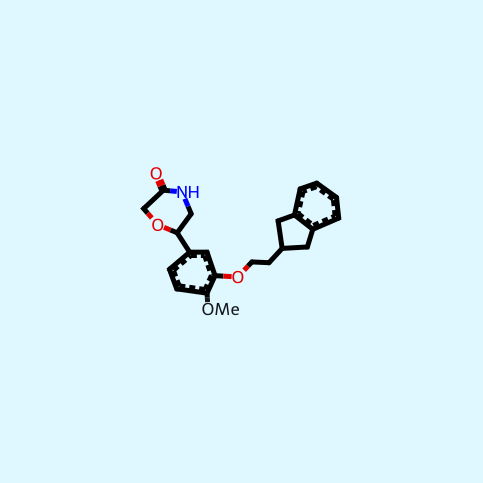 COc1ccc(C2CNC(=O)CO2)cc1OCCC1Cc2ccccc2C1